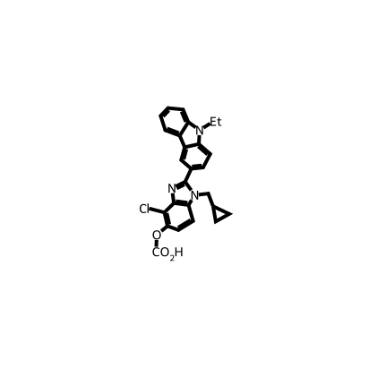 CCn1c2ccccc2c2cc(-c3nc4c(Cl)c(OC(=O)O)ccc4n3CC3CC3)ccc21